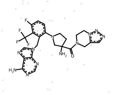 Nc1ncnc2c1ncn2Cc1c(N2CCC(N)(C(=O)N3CCn4nncc4C3)C2)ccc(F)c1C(F)(F)F